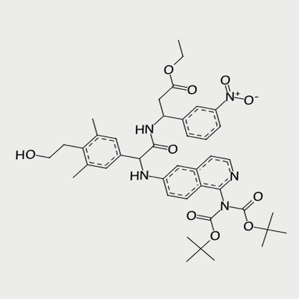 CCOC(=O)CC(NC(=O)C(Nc1ccc2c(N(C(=O)OC(C)(C)C)C(=O)OC(C)(C)C)nccc2c1)c1cc(C)c(CCO)c(C)c1)c1cccc([N+](=O)[O-])c1